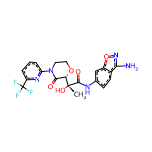 C[C@](O)(C(=O)Nc1ccc2c(N)noc2c1)[C@H]1OCCN(c2cccc(C(F)(F)F)n2)C1=O